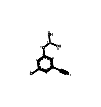 N#Cc1cc(Cl)cc(OB(O)O)c1